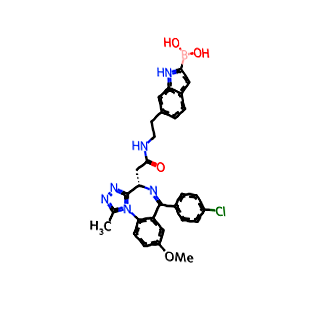 COc1ccc2c(c1)C(c1ccc(Cl)cc1)=N[C@@H](CC(=O)NCCc1ccc3cc(B(O)O)[nH]c3c1)c1nnc(C)n1-2